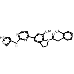 N#Cc1cc(-c2ccnc(Nc3cn[nH]c3)n2)cc2c1N(C(=O)Cc1ccccc1Cl)CC2